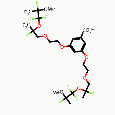 COC(C)(F)C(F)(F)OC(C)(F)COCCOc1cc(OCCOCC(F)(OC(F)(F)C(F)(OC)C(F)(F)F)C(F)(F)F)cc(C(=O)O)c1